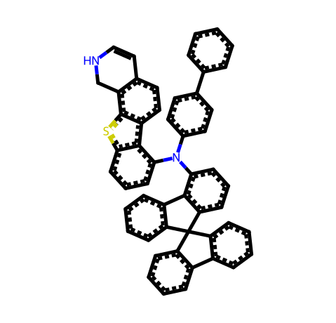 C1=Cc2ccc3c(sc4cccc(N(c5ccc(-c6ccccc6)cc5)c5cccc6c5-c5ccccc5C65c6ccccc6-c6ccccc65)c43)c2CN1